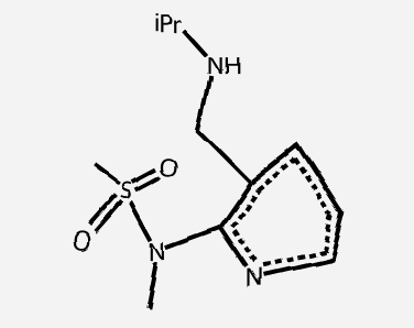 CC(C)NCc1cccnc1N(C)S(C)(=O)=O